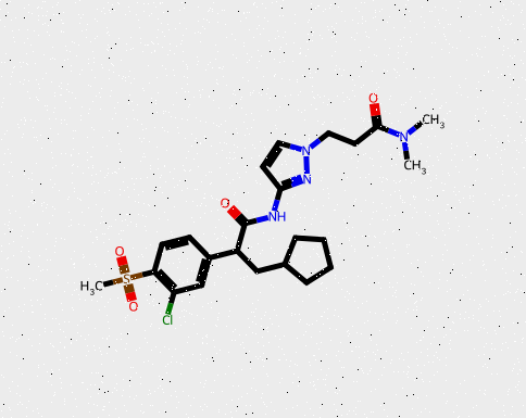 CN(C)C(=O)CCn1ccc(NC(=O)C(CC2CCCC2)c2ccc(S(C)(=O)=O)c(Cl)c2)n1